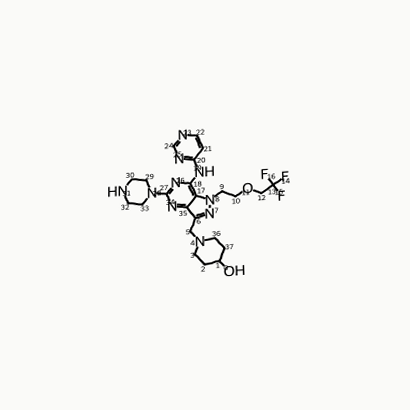 OC1CCN(Cc2nn(CCOCC(F)(F)F)c3c(Nc4ccncn4)nc(N4CCNCC4)nc23)CC1